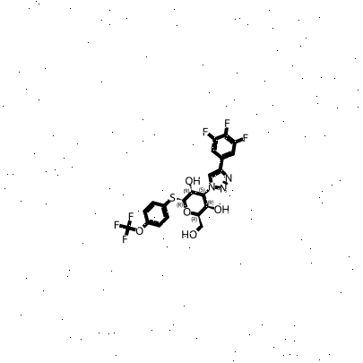 OC[C@H]1O[C@H](Sc2ccc(OC(F)(F)F)cc2)[C@H](O)[C@@H](n2cc(-c3cc(F)c(F)c(F)c3)nn2)[C@H]1O